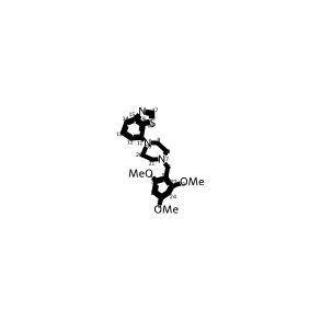 COc1cc(OC)c(CN2CCN(c3cccc4ncsc34)CC2)c(OC)c1